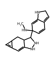 CNC1(C2NNC3=CC4=CC4CC32)C=CC2=CCNC2=C1